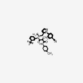 C=C(C(=O)NC1CCC(C)CC1)C(=O)N(c1cccc(C(F)(F)F)c1)N(C)Cc1ccnn1-c1ccc(C#N)cc1